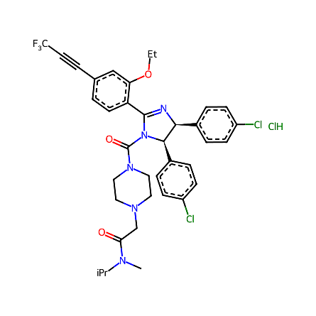 CCOc1cc(C#CC(F)(F)F)ccc1C1=N[C@@H](c2ccc(Cl)cc2)[C@@H](c2ccc(Cl)cc2)N1C(=O)N1CCN(CC(=O)N(C)C(C)C)CC1.Cl